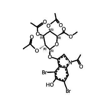 COC(=O)[C@H]1O[C@@H](Oc2cn(C(C)=O)c3cc(Br)c(O)c(Br)c23)[C@H](OC(C)=O)[C@@H](OC(C)=O)[C@@H]1OC(C)=O